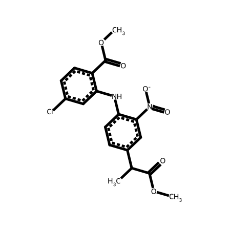 COC(=O)c1ccc(Cl)cc1Nc1ccc(C(C)C(=O)OC)cc1[N+](=O)[O-]